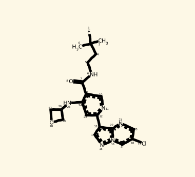 CC(C)(F)CCNC(=O)c1cnc(-c2cnn3cc(Cl)cnc23)cc1NC1COC1